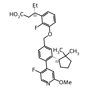 CC[C@@H](CC(=O)O)c1cccc(OCc2ccc(-c3cc(OC)ncc3F)c([C@H]3CCCC3(C)C)c2)c1F